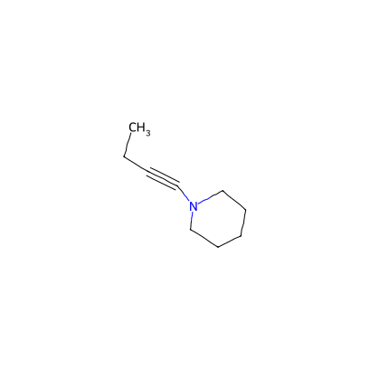 CCC#CN1CCCCC1